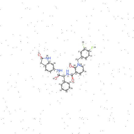 O=C1Cc2ccc(NC(=O)C(NC(=O)c3cccn(Cc4ccc(F)c(F)c4)c3=O)c3ccccc3)cc2N1